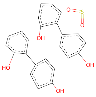 O=S=O.Oc1ccc(-c2ccccc2O)cc1.Oc1ccc(-c2ccccc2O)cc1